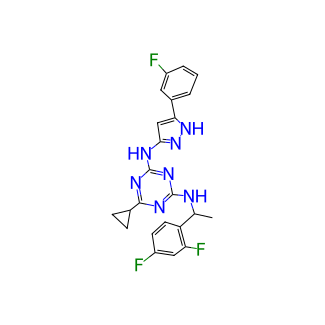 CC(Nc1nc(Nc2cc(-c3cccc(F)c3)[nH]n2)nc(C2CC2)n1)c1ccc(F)cc1F